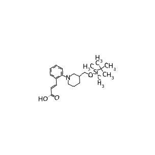 CC(C)(C)[Si](C)(C)OCC1CCCN(c2ccccc2C=CC(=O)O)C1